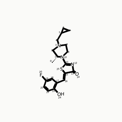 C[C@@H]1CN(CC2CC2)CCN1C1=NC(=O)/C(=C/c2cc(F)ccc2O)S1